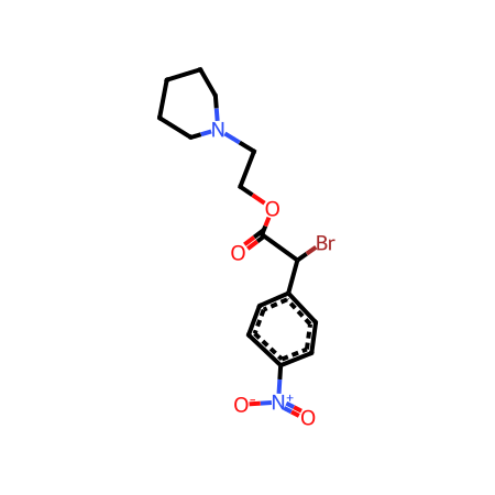 O=C(OCCN1CCCCC1)C(Br)c1ccc([N+](=O)[O-])cc1